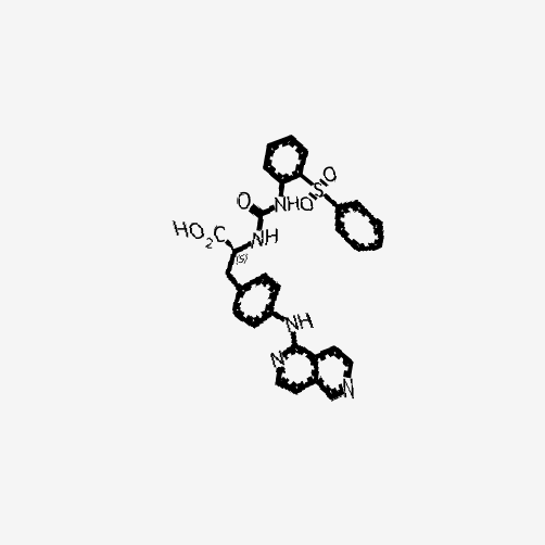 O=C(Nc1ccccc1S(=O)(=O)c1ccccc1)N[C@@H](Cc1ccc(Nc2nccc3cnccc23)cc1)C(=O)O